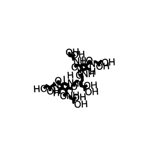 O=C(CN(CC(=O)Nc1c(I)c(C(=O)NCC(O)CO)c(I)c(C(=O)NCC(O)CO)c1I)CC(O)CO)Nc1c(I)c(C(=O)NCC(O)CO)c(I)c(C(=O)NCC(O)CO)c1I